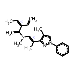 C=C/C(=C/C)C(=C)N(C)/C=C(\C)c1nn(-c2ccccc2)cc1C